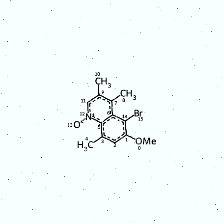 COc1cc(C)c2c(c(C)c(C)c[n+]2[O-])c1Br